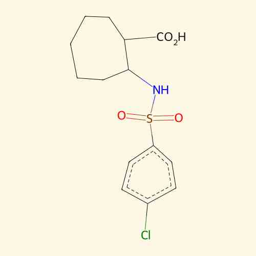 O=C(O)C1CCCCCC1NS(=O)(=O)c1ccc(Cl)cc1